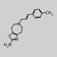 Cc1ccc(/C=C/CN2CCc3nc(N)sc3CC2)cc1